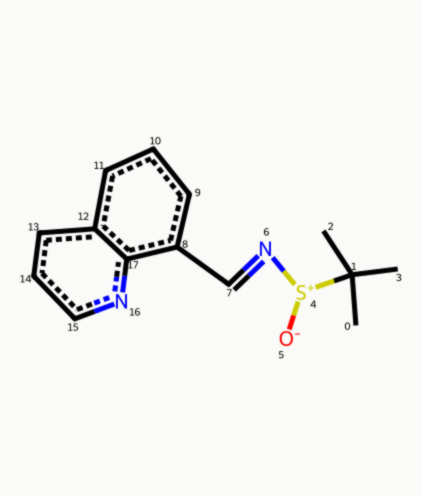 CC(C)(C)[S+]([O-])N=Cc1cccc2cccnc12